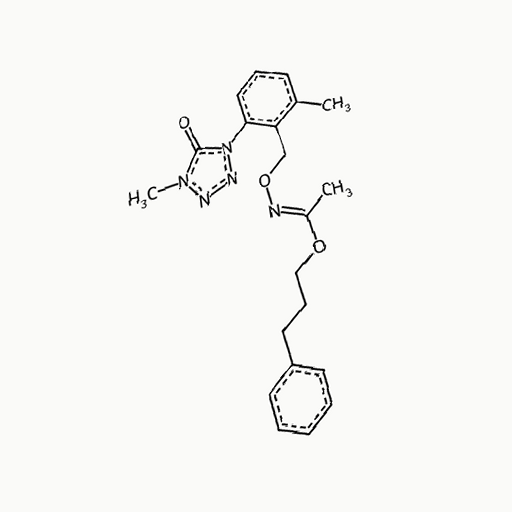 C/C(=N\OCc1c(C)cccc1-n1nnn(C)c1=O)OCCCc1ccccc1